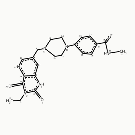 CCn1c(=O)[nH]c2cc(CN3CCN(c4ccc(C(=O)NC)cc4)CC3)cnc2c1=O